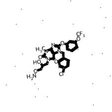 Cn1c(=O)n(CC(O)CON)c(=O)c2c1nc(Oc1cccc(OC(F)(F)F)c1)n2Cc1ccc(Cl)cc1